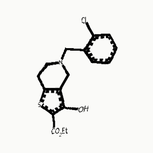 CCOC(=O)c1sc2c(c1O)CN(Cc1ccccc1Cl)CC2